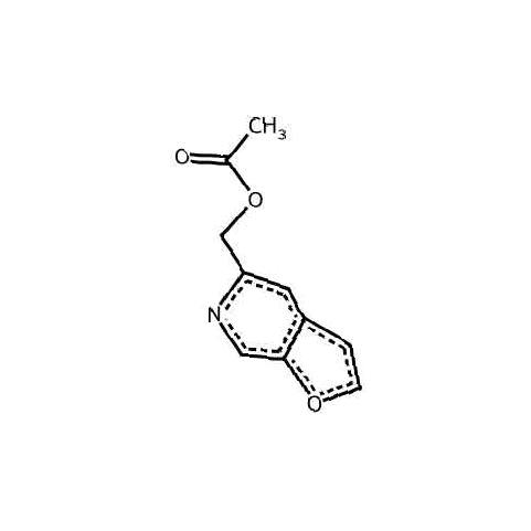 CC(=O)OCc1cc2ccoc2cn1